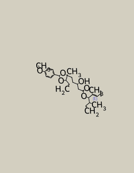 C=CC(C)C(OC(=O)CC(O)CCC1(C)OC(c2ccc(OC)cc2)OC1C=C)/C(C)=C/I